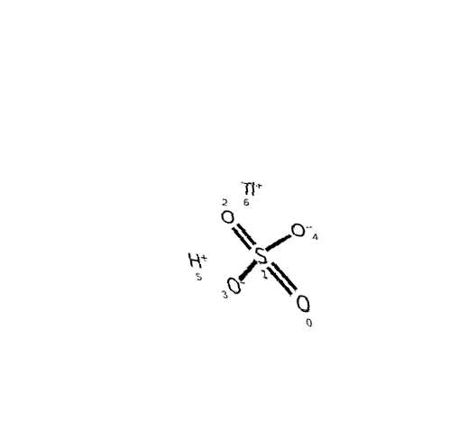 O=S(=O)([O-])[O-].[H+].[Tl+]